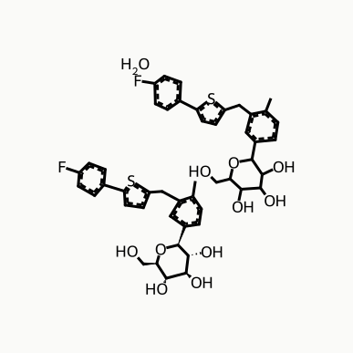 Cc1ccc(C2OC(CO)C(O)C(O)C2O)cc1Cc1ccc(-c2ccc(F)cc2)s1.Cc1ccc([C@@H]2O[C@H](CO)[C@@H](O)[C@H](O)[C@H]2O)cc1Cc1ccc(-c2ccc(F)cc2)s1.O